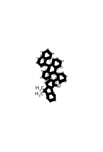 CC1(C)c2ccccc2-c2c1ccc1c2oc2cccc(-c3c4ccccc4c(-c4cccc5ccccc45)c4ccccc34)c21